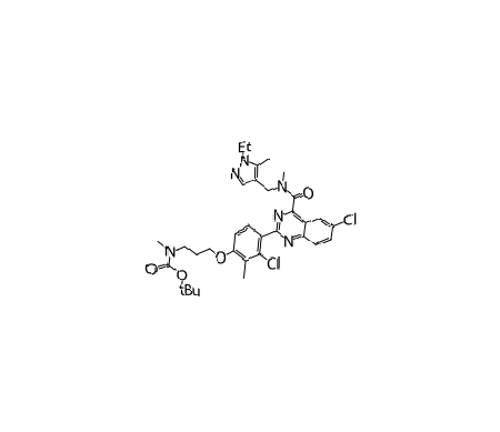 CCn1ncc(CN(C)C(=O)c2nc(-c3ccc(OCCCN(C)C(=O)OC(C)(C)C)c(C)c3Cl)nc3ccc(Cl)cc23)c1C